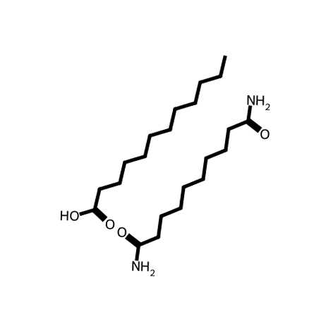 CCCCCCCCCCCC(=O)O.NC(=O)CCCCCCCCC(N)=O